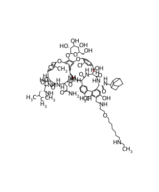 CCNCCCCCCCOCCNCc1c(O)cc2c(c1C)-c1cc(ccc1O)[C@H]1NC(=O)[C@@H]3NC(=O)[C@H](CC(N)=O)NC(=O)[C@H](NC(=O)[C@@H](CC(C)C)NC)[C@H](O)c4ccc(c(C)c4)Oc4cc3cc(c4O[C@@H]3O[C@H](CO)[C@@H](O)[C@H](O)[C@H]3O)Oc3ccc(cc3Cl)[C@@H](O)[C@H](NC1=O)C(=O)N[C@@H]2C(=O)NC1C2CC3CC(C2)CC1C3